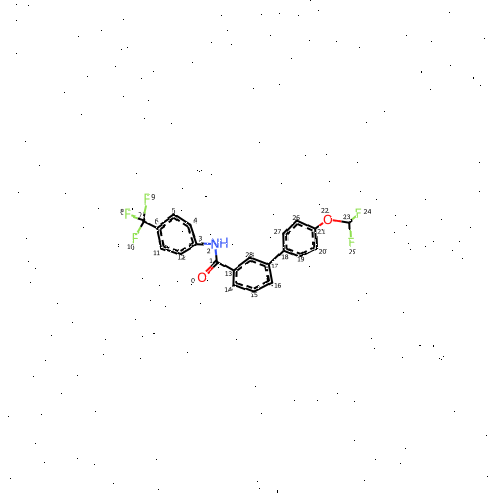 O=C(Nc1ccc(C(F)(F)F)cc1)c1cc[c]c(-c2ccc(OC(F)F)cc2)c1